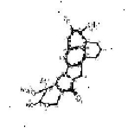 CC[C@]1(OC)c2cc3n(c(=O)c2COC1O)Cc1c-3nc2cc(F)c(C)c3c2c1CCC3